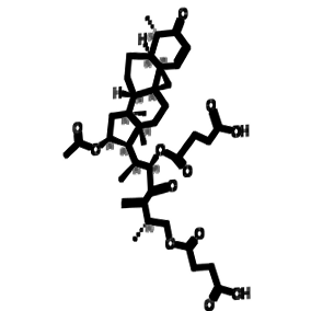 C=C(C(=O)[C@H](OC(=O)CCC(=O)O)[C@@H](C)[C@H]1[C@@H](OC(C)=O)C[C@@]2(C)[C@@H]3CC[C@H]4[C@H](C)C(=O)C=C[C@@]45C[C@@]35CC[C@]12C)[C@@H](C)COC(=O)CCC(=O)O